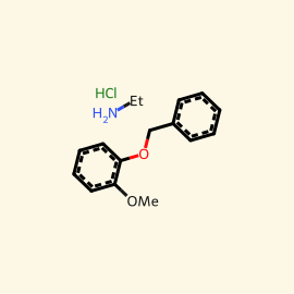 CCN.COc1ccccc1OCc1ccccc1.Cl